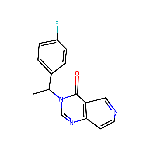 CC(c1ccc(F)cc1)n1cnc2ccncc2c1=O